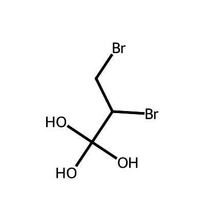 OC(O)(O)C(Br)CBr